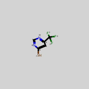 FC(F)(F)c1cc(S)ncn1